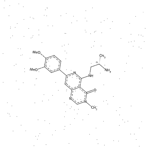 COc1ccc(-c2cc3ncn(C)c(=O)c3c(NC[C@H](C)N)n2)cc1OC